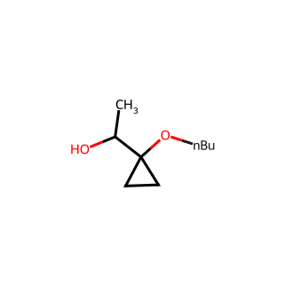 CCCCOC1(C(C)O)CC1